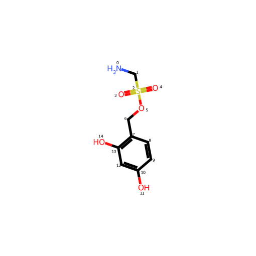 NCS(=O)(=O)OCc1ccc(O)cc1O